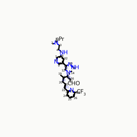 CCCN(C)CCNc1cncc(/C(=C/N(C)C(=C/C=O)/C(C)=C\C=C\c2cccc(C(F)(F)F)n2)N=N)c1